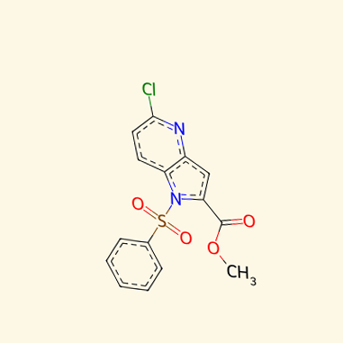 COC(=O)c1cc2nc(Cl)ccc2n1S(=O)(=O)c1ccccc1